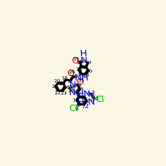 N/C(Cl)=C\Nc1ccc(Cl)cc1-c1cc(=O)n(C(Cc2ccccc2)C(=O)Nc2ccc3c(c2)C(=O)NC3)cn1